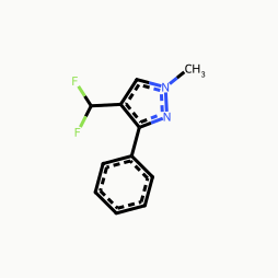 Cn1cc(C(F)F)c(-c2ccccc2)n1